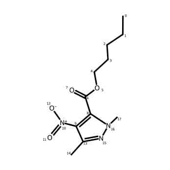 CCCCCOC(=O)c1c([N+](=O)[O-])c(C)nn1C